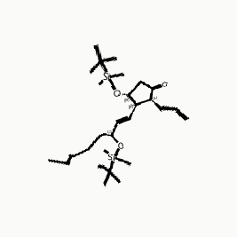 C=CC[C@@H]1C(=O)C[C@@H](O[Si](C)(C)C(C)(C)C)[C@@H]1C=C[C@H](CCCCC)O[Si](C)(C)C(C)(C)C